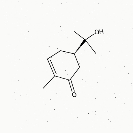 CC1=CC[C@@H](C(C)(C)O)CC1=O